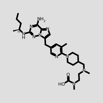 CCC[C@H](C)Nc1nc(N)c2ncc(Cc3cnc(N4CCC(CN(C)CCN(C)C(=O)O)CC4)c(C)c3)n2n1